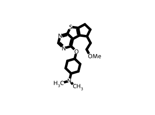 COCCC1CCc2sc3ncnc(OC4CCC(N(C)C)CC4)c3c21